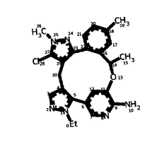 CCn1ncc2c1-c1cnc(N)c(c1)OC(C)c1cc(C)ccc1-c1nn(C)c(Cl)c1C2